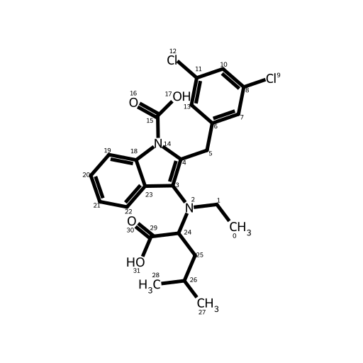 CCN(c1c(Cc2cc(Cl)cc(Cl)c2)n(C(=O)O)c2ccccc12)C(CC(C)C)C(=O)O